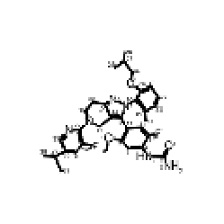 COc1cc(NC(N)=O)c(F)cc1-c1c2c(nn1-c1c(C)cccc1OCC(C)C)CCN(c1ncc(C(C)C)cc1F)C2